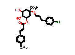 COc1ccc(C=CC(=O)O[C@@H]2C[C@](OCCCc3ccc(Cl)cc3)(C(=O)O)C[C@H](O)[C@H]2O)cc1